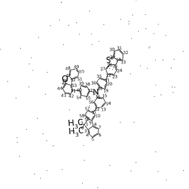 CC1(C)c2ccccc2-c2cc(-c3cccc(N(c4ccc(-c5ccc6c(c5)sc5ccccc56)cc4)c4ccc(-c5cccc6oc7ccccc7c56)cc4)c3)ccc21